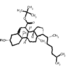 CC(C)CCC[C@@H](C)[C@H]1CC[C@H]2[C@@H]3C(C(=O)OC(C)(C)C)C=C4C[C@@H](O)CC[C@]4(C)[C@H]3CC[C@]12C